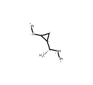 CC(C)N[C@H](C)C1CC1OC(C)C